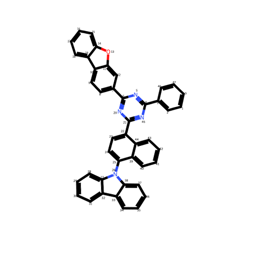 c1ccc(-c2nc(-c3ccc4c(c3)oc3ccccc34)nc(-c3ccc(-n4c5ccccc5c5ccccc54)c4ccccc34)n2)cc1